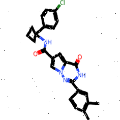 Cc1ccc(-c2nn3cc(C(=O)NC4(c5ccc(Cl)cc5)CCC4)cc3c(=O)[nH]2)cc1C